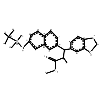 COC(=O)C(C)C(c1ccc2c(c1)OCO2)c1ccc2ccc(O[Si](C)(C)C(C)(C)C)cc2c1